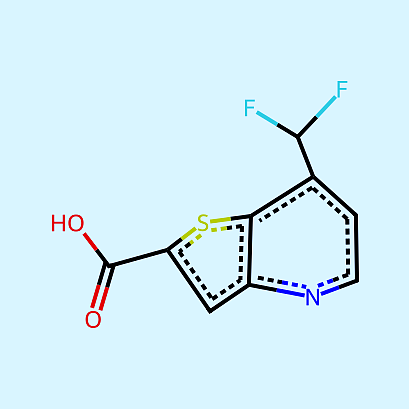 O=C(O)c1cc2nccc(C(F)F)c2s1